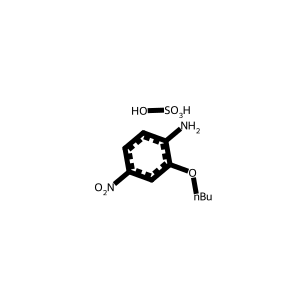 CCCCOc1cc([N+](=O)[O-])ccc1N.O=S(=O)(O)O